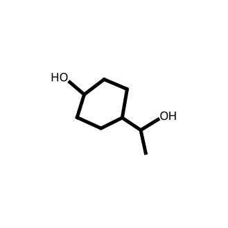 CC(O)C1CCC(O)CC1